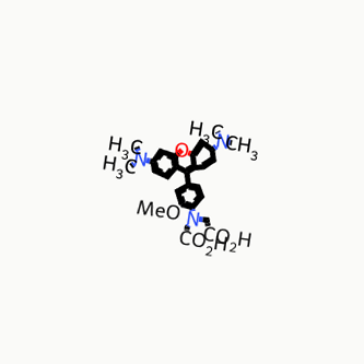 COc1cc(C2=C3C=CC(N(C)C)C=C3Oc3cc(N(C)C)ccc32)ccc1N(CC(=O)O)CC(=O)O